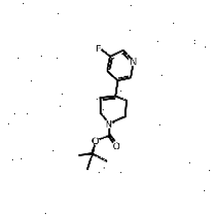 CC(C)(C)OC(=O)N1CC=C(c2cncc(F)c2)CC1